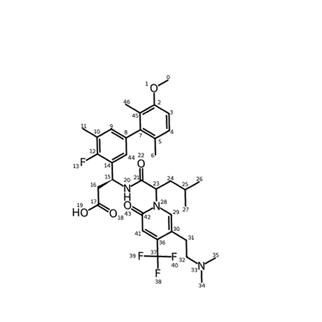 COc1ccc(C)c(-c2cc(C)c(F)c([C@H](CC(=O)O)NC(=O)C(CC(C)C)n3cc(CCN(C)C)c(C(F)(F)F)cc3=O)c2)c1C